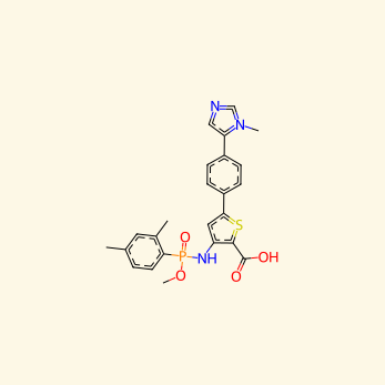 COP(=O)(Nc1cc(-c2ccc(-c3cncn3C)cc2)sc1C(=O)O)c1ccc(C)cc1C